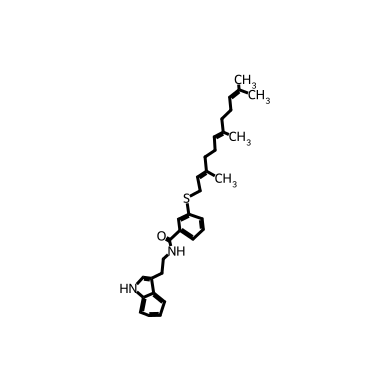 CC(C)=CCC/C(C)=C/CC/C(C)=C/CSc1cccc(C(=O)NCCc2c[nH]c3ccccc23)c1